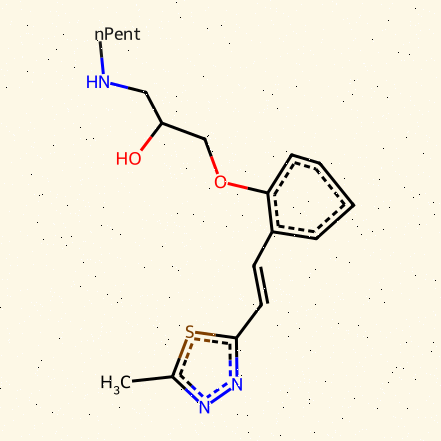 CCCCCNCC(O)COc1ccccc1C=Cc1nnc(C)s1